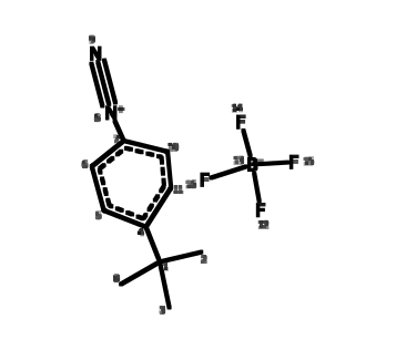 CC(C)(C)c1ccc([N+]#N)cc1.F[B-](F)(F)F